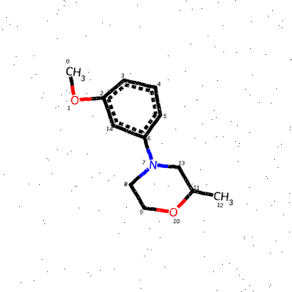 COc1cccc(N2CCOC(C)C2)c1